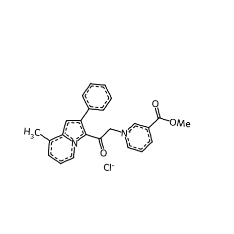 COC(=O)c1ccc[n+](CC(=O)c2c(-c3ccccc3)cc3c(C)cccn23)c1.[Cl-]